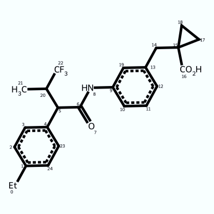 CCc1ccc(C(C(=O)Nc2cccc(CC3(C(=O)O)CC3)c2)C(C)C(F)(F)F)cc1